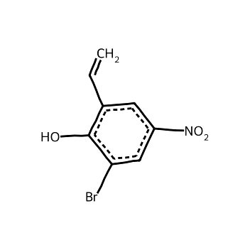 C=Cc1cc([N+](=O)[O-])cc(Br)c1O